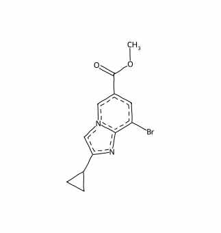 COC(=O)c1cc(Br)c2nc(C3CC3)cn2c1